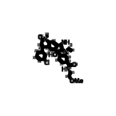 C=CN(C)/C(=C\N)C(O)(c1ccc(C(=O)NCCOC)cc1)c1ccc2c(c1)c(-c1cccc(Cl)c1)cc(=O)n2C